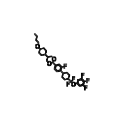 CCCCOC1CCC(C2COC(c3ccc(C4CCC(C(F)(F)Oc5cc(F)c(F)c(F)c5)CC4)c(F)c3)OC2)CC1